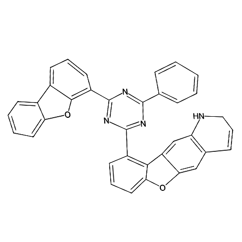 C1=Cc2cc3oc4cccc(-c5nc(-c6ccccc6)nc(-c6cccc7c6oc6ccccc67)n5)c4c3cc2NC1